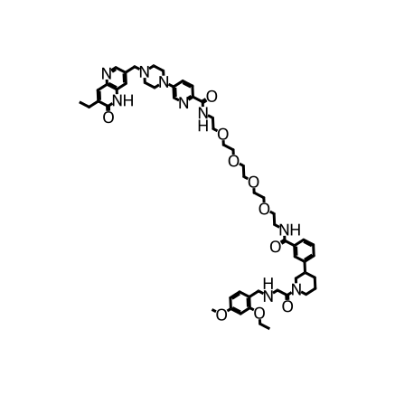 CCOc1cc(OC)ccc1CNCC(=O)N1CCCC(c2cccc(C(=O)NCCOCCOCCOCCOCCNC(=O)c3ccc(N4CCN(Cc5cnc6cc(CC)c(=O)[nH]c6c5)CC4)cn3)c2)C1